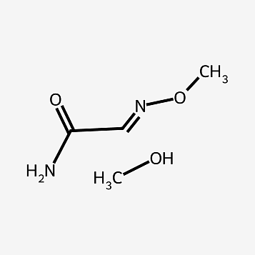 CO.CON=CC(N)=O